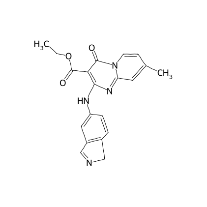 CCOC(=O)c1c(Nc2ccc3c(c2)C=NC3)nc2cc(C)ccn2c1=O